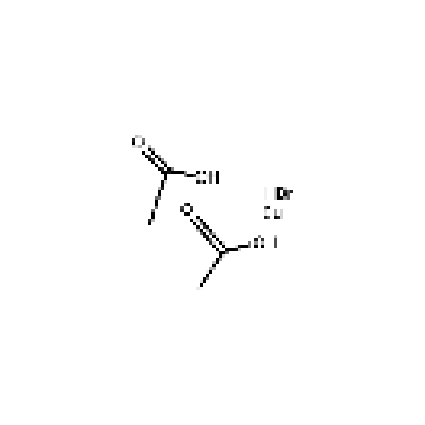 Br.CC(=O)O.CC(=O)O.[Cu]